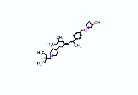 CC\C(C)=C/C(=C\C=C(/C)c1ccc(CON2CCC(O)C2)cc1)CCC1CCN(CC(F)(CC)CC)CC1